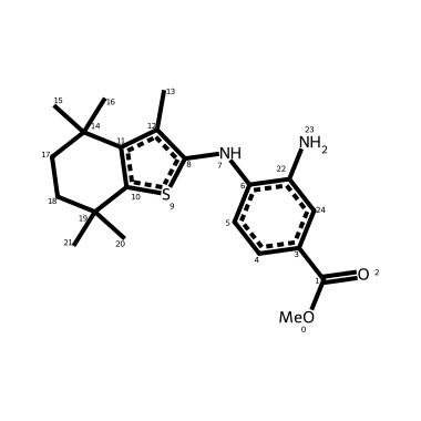 COC(=O)c1ccc(Nc2sc3c(c2C)C(C)(C)CCC3(C)C)c(N)c1